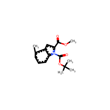 COC(=O)c1cc2c(C)cccc2n1C(=O)OC(C)(C)C